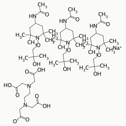 CC(=O)NC1CC(C)(C)N(OCC(C)(C)O)C(C)(C)C1.CC(=O)NC1CC(C)(C)N(OCC(C)(C)O)C(C)(C)C1.CC(=O)NC1CC(C)(C)N(OCC(C)(C)O)C(C)(C)C1.O=C([O-])CN(CCN(CC(=O)O)CC(=O)O)CC(=O)O.[Na+]